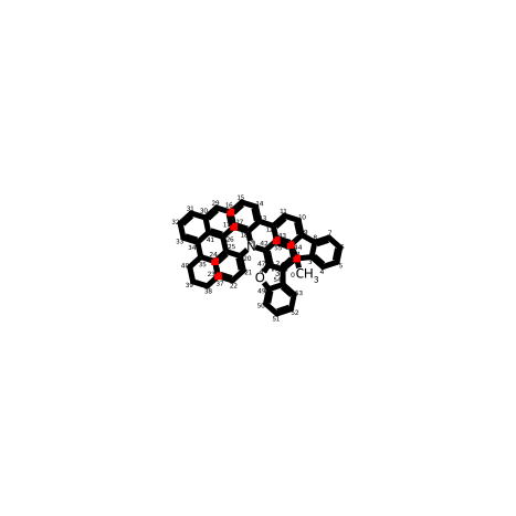 CC1(C)c2ccccc2-c2ccc(-c3ccccc3N(c3ccccc3-c3cccc4cccc(C5CCCCC5)c34)c3cccc4c3oc3ccccc34)cc21